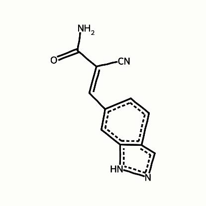 N#C/C(=C\c1ccc2cn[nH]c2c1)C(N)=O